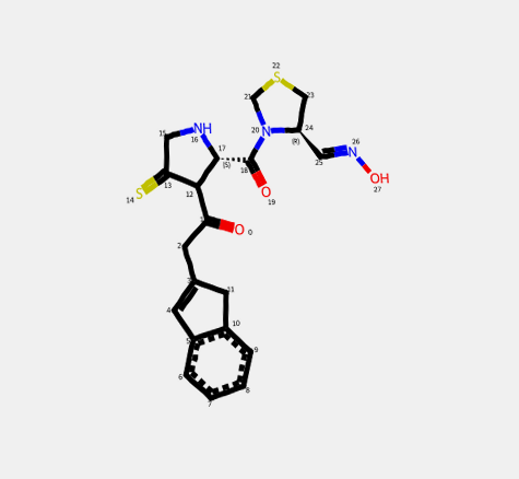 O=C(CC1=Cc2ccccc2C1)C1C(=S)CN[C@@H]1C(=O)N1CSC[C@H]1C=NO